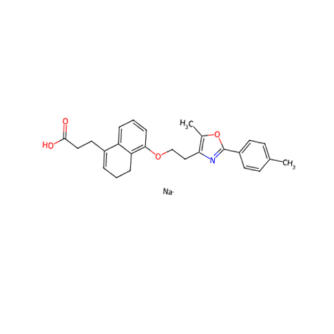 Cc1ccc(-c2nc(CCOc3cccc4c3CCC=C4CCC(=O)O)c(C)o2)cc1.[Na]